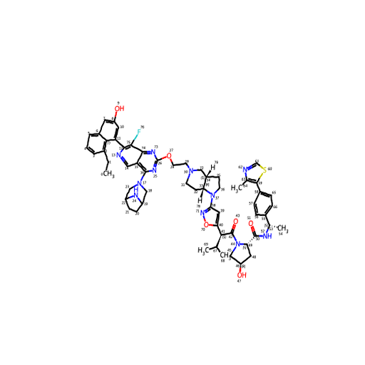 CCc1cccc2cc(O)cc(-c3ncc4c(N5CC6CCC(C5)N6)nc(OCCN5CC[C@@H]6[C@@H](CCN6c6cc([C@@H](C(=O)N7C[C@H](O)C[C@H]7C(=O)N[C@@H](C)c7ccc(-c8scnc8C)cc7)C(C)C)on6)C5)nc4c3F)c12